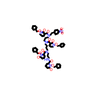 O=C(NCCCN(CCCCN(CCCN(CCc1ccc([N+](=O)[O-])cc1)C(=O)c1cccn(OCc2ccccc2)c1=O)C(=O)c1cccn(OCc2ccccc2)c1=O)C(=O)c1cccc(=O)n1OCc1ccccc1)c1cccc(=O)n1OCc1ccccc1